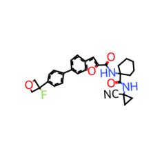 N#CC1(NC(=O)C2(NC(=O)c3cc4ccc(-c5ccc(C6(F)COC6)cc5)cc4o3)CCCCC2)CC1